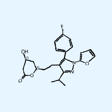 CC(C)c1nn(-c2ccco2)c(-c2ccc(F)cc2)c1CC[C@@H]1C[C@H](O)CC(=O)O1